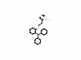 Cn1cncc1CCNc1ccccc1C(c1ccccc1)c1ccccc1